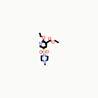 CCOC(=O)c1cc(S(=O)(=O)N2CCN(C)CC2)cnc1OCC